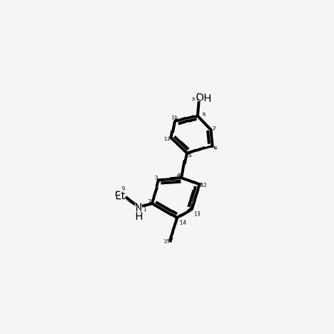 CCNc1cc(-c2ccc(O)cc2)ccc1C